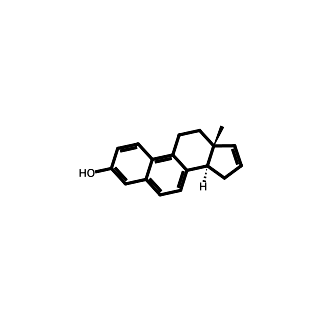 C[C@@]12C=CC[C@H]1c1ccc3cc(O)ccc3c1CC2